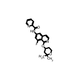 CC1(C)CC(Oc2nccc3cc(NC(=O)c4ccccn4)cc(F)c23)CCO1